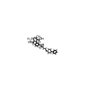 CC1=NC(C)=C(C(=O)O)C(c2cccc(NC(=O)NCCCN3CCC(c4ccccc4)CC3)c2)C1C(=O)O